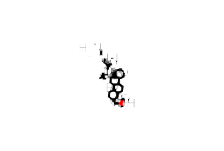 CC(=O)O[C@@H]1C[C@]23COC[C@@](C)([C@@H]2CC[C@H]2C3=CC[C@@]3(C)[C@H](C(=O)O)[C@@](C)([C@H](C)C(C)C)CC[C@]23C)[C@H]1OC(=O)CNCCN